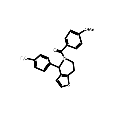 COc1ccc(C(=O)N2CCc3sccc3C2c2ccc(C(F)(F)F)cc2)cc1